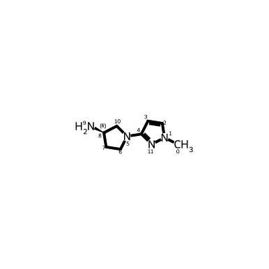 Cn1ccc(N2CC[C@@H](N)C2)n1